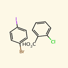 Brc1ccc(I)cc1.O=C(O)c1ccccc1Cl